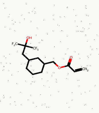 C=CC(=O)OCC1CCCC(CC(O)(C(F)(F)F)C(F)(F)F)C1